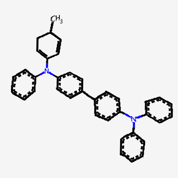 CC1C=CC(N(c2ccccc2)c2ccc(-c3ccc(N(c4ccccc4)c4ccccc4)cc3)cc2)=CC1